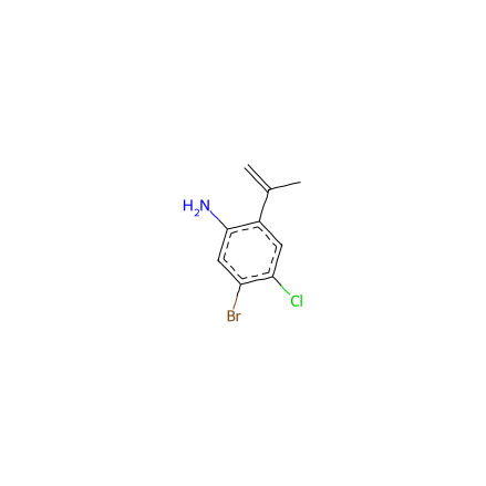 C=C(C)c1cc(Cl)c(Br)cc1N